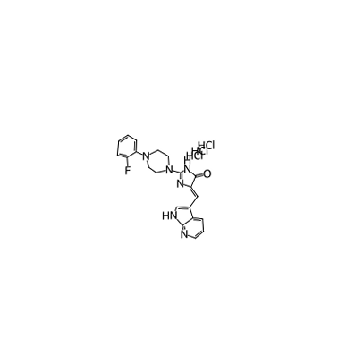 Cl.Cl.Cl.O=C1NC(N2CCN(c3ccccc3F)CC2)=NC1=Cc1c[nH]c2ncccc12